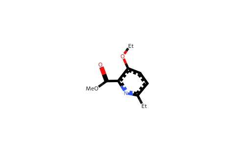 CCOc1ccc(CC)nc1C(=O)OC